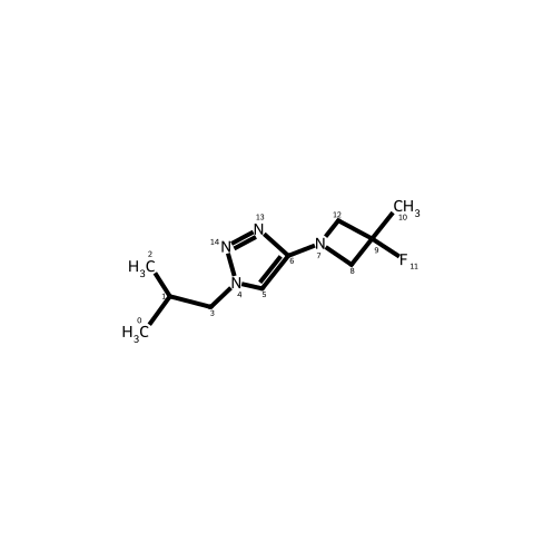 CC(C)Cn1cc(N2CC(C)(F)C2)nn1